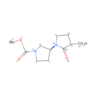 CC(C)(C)OC(=O)N1CC[C@H](N2CCC(C(=O)O)C2=O)C1